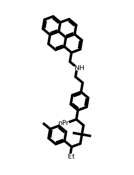 CCCC(CC(C)(C)CC(CC)c1ccc(C)cc1)c1ccc(CCNCC2C=Cc3ccc4cccc5c4c3C2=CC5)cc1